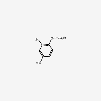 CCOC(=O)Oc1ccc(C(C)(C)C)cc1C(C)(C)C